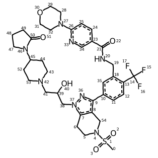 CS(=O)(=O)N1CCc2c(c(-c3ccc(C(F)(F)F)c(CNC(=O)c4ccc(N5CCOCC5)nc4)c3)nn2CC(O)CN2CCC(N3CCCC3=O)CC2)C1